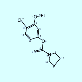 CCOc1cc(OC(=S)N2CCCC2)ccc1Cl